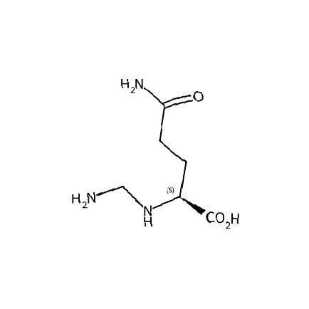 NCN[C@@H](CCC(N)=O)C(=O)O